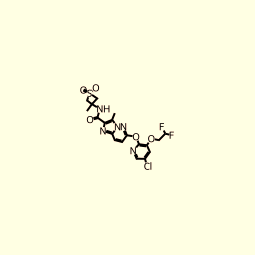 Cc1c(C(=O)NC2(C)CS(=O)(=O)C2)nc2ccc(Oc3ncc(Cl)cc3OCC(F)F)nn12